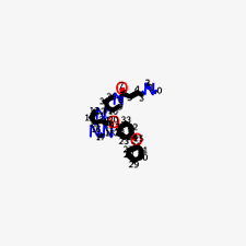 CN(C)C/C=C/C(=O)N1CCC(n2ccc3ncnc(Oc4ccc(Oc5ccccc5)cc4)c32)CC1